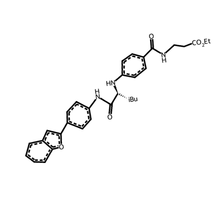 CCOC(=O)CCNC(=O)c1ccc(N[C@H](C(=O)Nc2ccc(-c3cc4ccccc4o3)cc2)[C@@H](C)CC)cc1